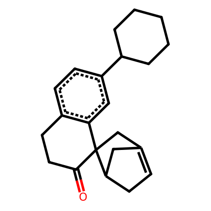 O=C1CCc2ccc(C3CCCCC3)cc2C12CC1=CCC2C1